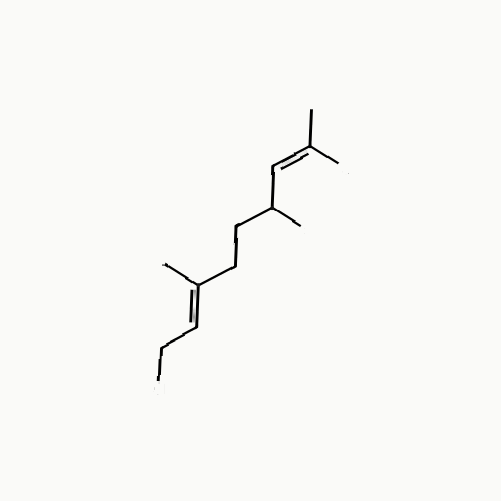 CC(Cl)=CC(Cl)CCC(Cl)=CCCl